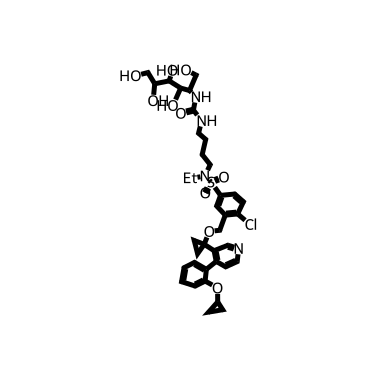 CCN(CCCCNC(=O)NC(CO)C(O)C(O)C(O)CO)S(=O)(=O)c1ccc(Cl)c(COC2(c3cnccc3-c3ccccc3OC3CC3)CC2)c1